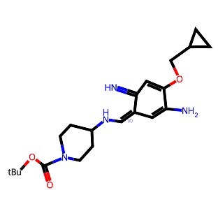 CC(C)(C)OC(=O)N1CCC(N/C=C2/C=C(N)C(OCC3CC3)=CC2=N)CC1